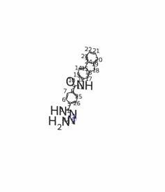 N=C(/N=N\N)c1ccc(C(=O)Nc2ccc3c(c2)Cc2ccccc2-3)cc1